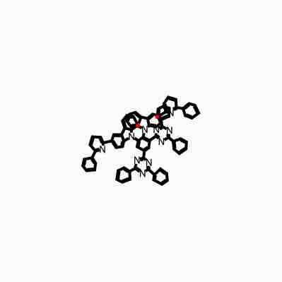 c1ccc(-c2cccc(-c3ccc4c(c3)c3ccccc3n4-c3cc(-c4nc(-c5ccccc5)nc(-c5ccccc5)n4)cc(-c4nc(-c5ccccc5)nc(-c5ccccc5)n4)c3-n3c4ccccc4c4cc(-c5cccc(-c6ccccc6)n5)ccc43)n2)cc1